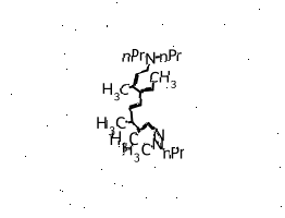 C/C=C(/C=C/C(C)C(C)/C=N\N(C)CCC)C(\C)=C/CN(CCC)CCC